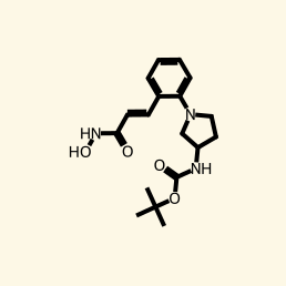 CC(C)(C)OC(=O)NC1CCN(c2ccccc2/C=C/C(=O)NO)C1